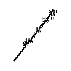 CCCCCCCCCCCCCCCC(=O)NC(CCC(=O)NCCOCCOCCC(=O)NCCOCCOCCC(=O)NCCCCC(NC(C)C)C(=O)NC(C)C)C(=O)O